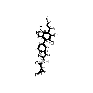 COC[C@@H](C)c1c(F)c(Cl)c(-c2ccn3nc(NC(=O)C4CC4F)cc3c2)c2cn[nH]c12